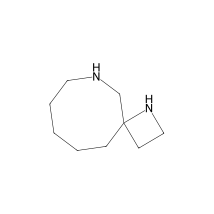 C1CCNCC2(CC1)CCN2